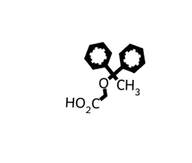 CC(OCC(=O)O)(c1ccccc1)c1ccccc1